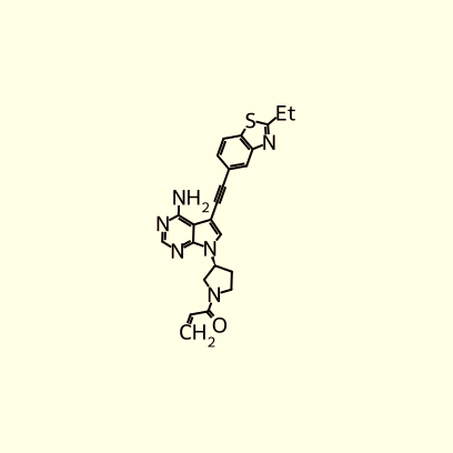 C=CC(=O)N1CC[C@H](n2cc(C#Cc3ccc4sc(CC)nc4c3)c3c(N)ncnc32)C1